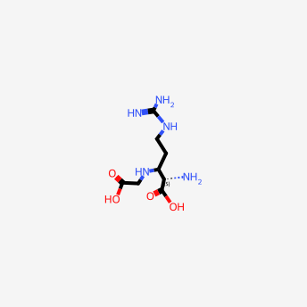 N=C(N)NCCC(NCC(=O)O)[C@H](N)C(=O)O